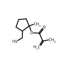 C=C(C)C(=O)OC1(C)CCCC1CS